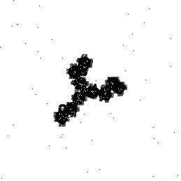 c1cc(-c2ccc(N(c3ccc(-c4ccc5c(c4)oc4ccccc45)cc3)c3ccc(-c4cccc5c4oc4ccccc45)cc3)cc2)cc(-c2cccc3ccccc23)c1